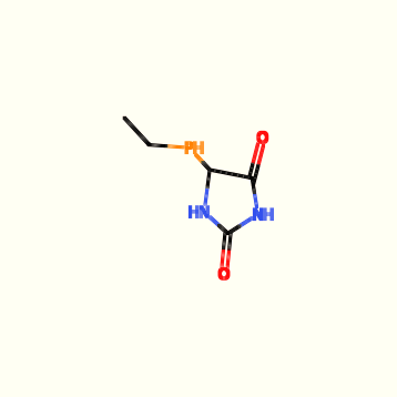 CCPC1NC(=O)NC1=O